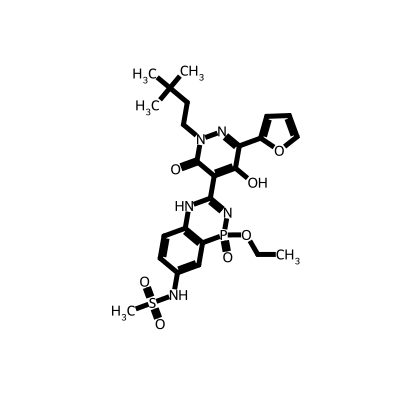 CCOP1(=O)N=C(c2c(O)c(-c3ccco3)nn(CCC(C)(C)C)c2=O)Nc2ccc(NS(C)(=O)=O)cc21